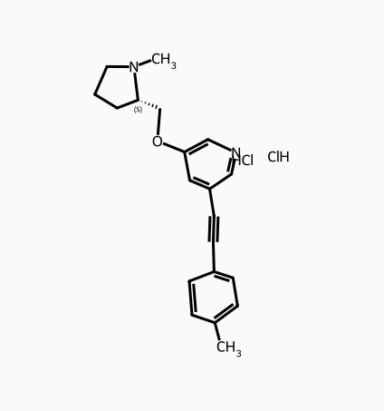 Cc1ccc(C#Cc2cncc(OC[C@@H]3CCCN3C)c2)cc1.Cl.Cl